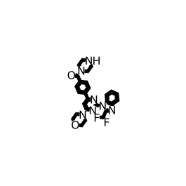 O=C(c1ccc(-c2cc(N3CCOCC3)nc(-n3c(C(F)F)nc4ccccc43)n2)cc1)N1CCNCC1